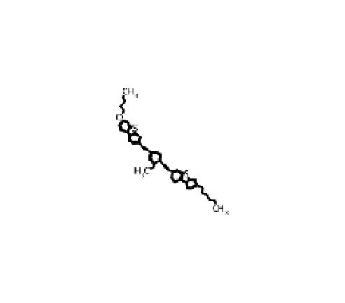 CCCCC=Cc1ccc2c(c1)sc1cc(C#Cc3ccc(C#Cc4ccc5c(c4)sc4cc(OCCCCC)ccc45)cc3CC)ccc12